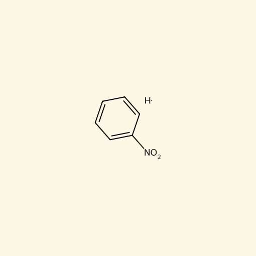 O=[N+]([O-])c1ccccc1.[H]